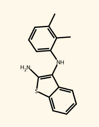 Cc1cccc(Nc2c(N)sc3ccccc23)c1C